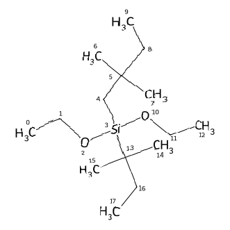 CCO[Si](CC(C)(C)CC)(OCC)C(C)(C)CC